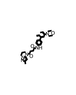 C=C/C(=C\C(=C/C)N1CCOCC1)c1ccc(NC(=O)CCC(=O)N2CCCn3nc(C)cc32)cc1